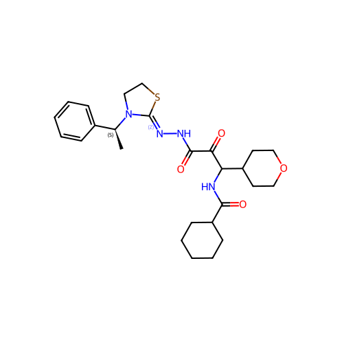 C[C@@H](c1ccccc1)N1CCS/C1=N\NC(=O)C(=O)C(NC(=O)C1CCCCC1)C1CCOCC1